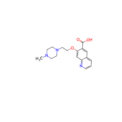 CN1CCN(CCOc2cc3ncccc3cc2C(=O)O)CC1